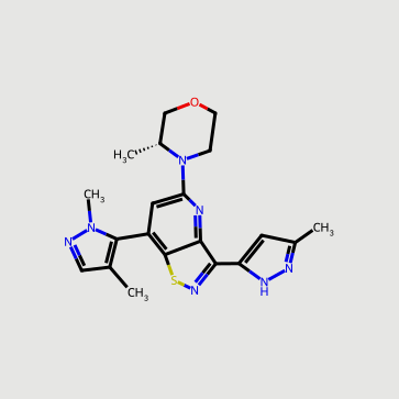 Cc1cc(-c2nsc3c(-c4c(C)cnn4C)cc(N4CCOC[C@H]4C)nc23)[nH]n1